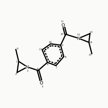 CC1CN1C(=O)c1ccc(C(=O)N2CC2C)cc1